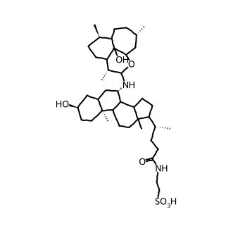 C[C@H]1CCC2[C@H](C)CCC3[C@@H](C)C(N[C@H]4CC5C[C@H](O)CC[C@]5(C)C5CCC6(C)C(CCC6[C@H](C)CCC(=O)NCCS(=O)(=O)O)C54)OC(C1)C32O